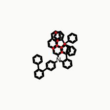 c1ccc(-c2ccccc2-c2ccc(N(c3ccc4c(c3)C(c3ccccc3)(c3ccccc3)c3ccccc3-4)c3ccccc3-c3cccc(-c4cccc5ccccc45)c3)cc2)cc1